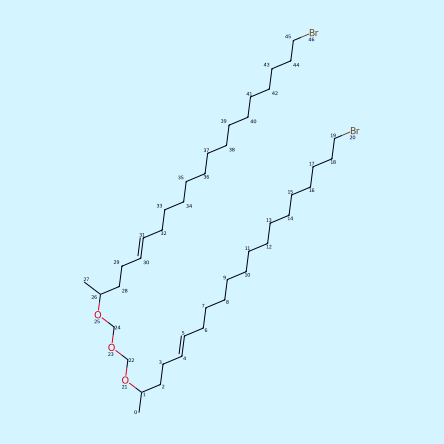 CC(CCC=CCCCCCCCCCCCCCCBr)OCOCOC(C)CCC=CCCCCCCCCCCCCCCBr